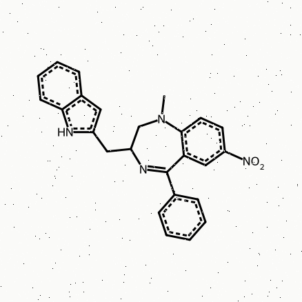 CN1CC(Cc2cc3ccccc3[nH]2)N=C(c2ccccc2)c2cc([N+](=O)[O-])ccc21